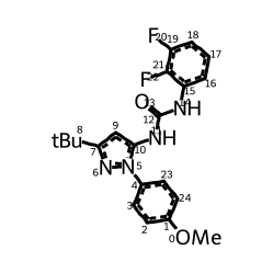 COc1ccc(-n2nc(C(C)(C)C)cc2NC(=O)Nc2cccc(F)c2F)cc1